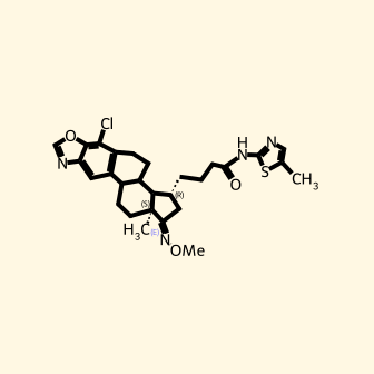 CO/N=C1\C[C@@H](CCCC(=O)Nc2ncc(C)s2)C2C3CCc4c(cc5ncoc5c4Cl)C3CC[C@]12C